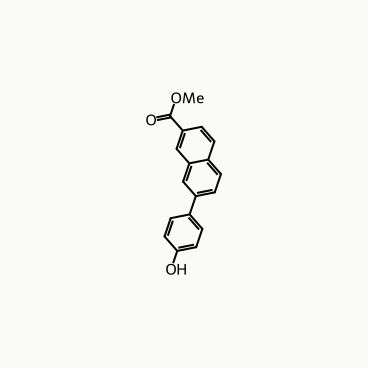 COC(=O)c1ccc2ccc(-c3ccc(O)cc3)cc2c1